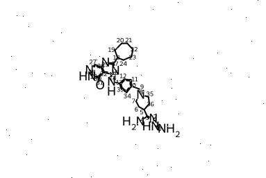 NN/N=C(\N)C1CCN(Cc2ccc(Nc3nc(C4CCCCCC4)nc4cn[nH]c(=O)c34)cc2)CC1